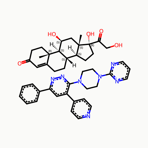 C[C@]12CCC(=O)C=C1CC[C@@H]1[C@@H]2[C@@H](O)C[C@@]2(C)[C@H]1CC[C@]2(O)C(=O)CO.c1ccc(-c2cc(-c3ccncc3)c(N3CCN(c4ncccn4)CC3)nn2)cc1